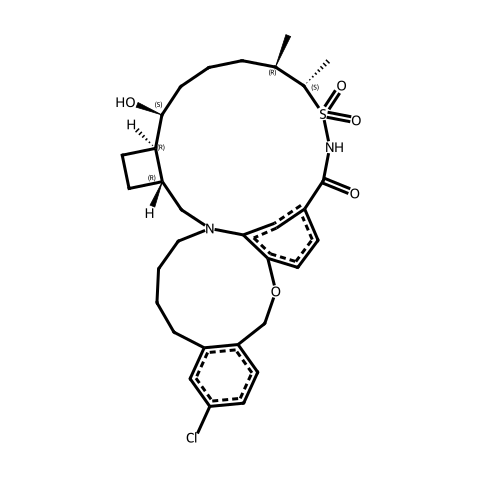 C[C@@H]1CCC[C@H](O)[C@@H]2CC[C@H]2CN2CCCCc3cc(Cl)ccc3COc3ccc(cc32)C(=O)NS(=O)(=O)[C@H]1C